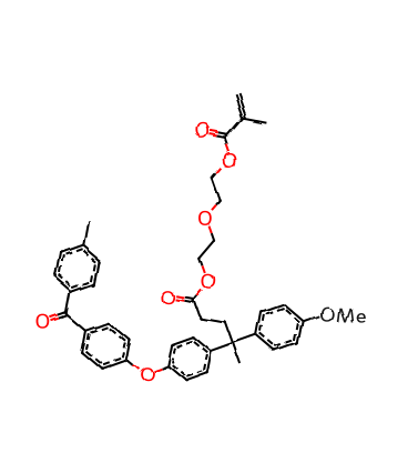 C=C(C)C(=O)OCCOCCOC(=O)CCC(C)(c1ccc(OC)cc1)c1ccc(Oc2ccc(C(=O)c3ccc(C)cc3)cc2)cc1